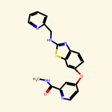 CNC(=O)c1cc(Oc2ccc3nc(NCc4ccccn4)sc3c2)ccn1